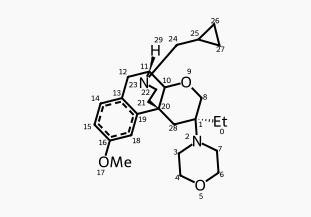 CC[C@@]1(N2CCOCC2)COC2[C@H]3Cc4ccc(OC)cc4[C@@]2(CCN3CC2CC2)C1